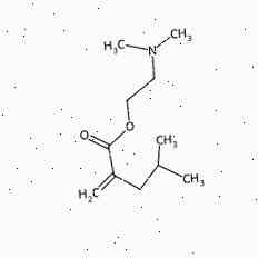 C=C(CC(C)C)C(=O)OCCN(C)C